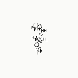 CC(C)([C@H]1C[C@H](Nc2ccnc(C(F)(F)F)n2)C1)S(=O)(=O)c1cccc(OC(F)(F)F)c1